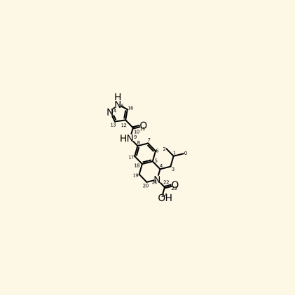 CC(C)CC1c2ccc(NC(=O)c3cn[nH]c3)cc2CCN1C(=O)O